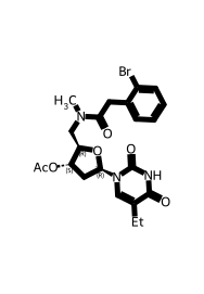 CCc1cn([C@H]2C[C@H](OC(C)=O)[C@@H](CN(C)C(=O)Cc3ccccc3Br)O2)c(=O)[nH]c1=O